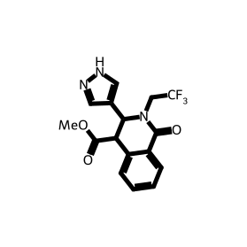 COC(=O)C1c2ccccc2C(=O)N(CC(F)(F)F)C1c1cn[nH]c1